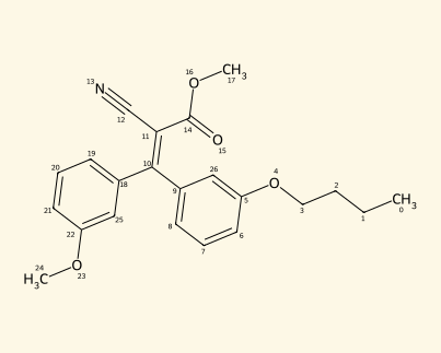 CCCCOc1cccc(/C(=C(/C#N)C(=O)OC)c2cccc(OC)c2)c1